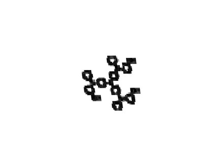 Oc1cccc(N(c2ccccc2)c2ccc(N(c3ccc(N(c4ccccc4)c4cccc(O)c4)cc3)c3ccc(N(c4ccccc4)c4cccc(O)c4)cc3)cc2)c1